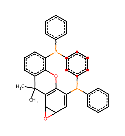 CC1(C)C2=C(Oc3c(P(c4ccccc4)c4ccccc4)cccc31)C(P(c1ccccc1)c1ccccc1)=CC1OC21